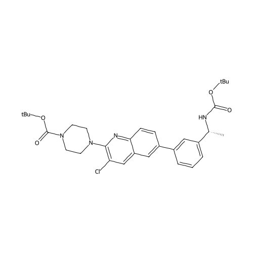 C[C@@H](NC(=O)OC(C)(C)C)c1cccc(-c2ccc3nc(N4CCN(C(=O)OC(C)(C)C)CC4)c(Cl)cc3c2)c1